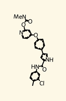 CNC(=O)Oc1cc(Oc2ccc(-c3c[nH]c(C(=O)Nc4ccc(C)c(Cl)c4)c3)cc2)ccn1